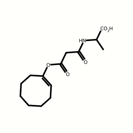 CC(NC(=O)CC(=O)O/C1=C/CCCCCC1)C(=O)O